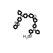 COc1cccc(N(c2ccccc2)c2ccc(-c3ccc4oc5ccc(-c6ccc(N(c7ccccc7)c7ccc(-c8nc9ccccc9o8)cc7)cc6)cc5c4c3)cc2)c1